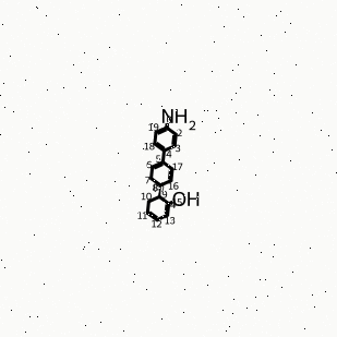 Nc1ccc(C2=CC[C@H](C3CC=CC=C3O)C=C2)cc1